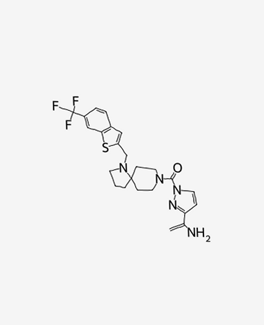 C=C(N)c1ccn(C(=O)N2CCC3(CCCN3Cc3cc4ccc(C(F)(F)F)cc4s3)CC2)n1